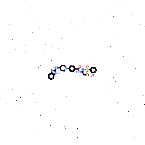 O=C(O)CC(NC(=O)c1ccc(N2CCC(Nc3nc4ccccc4[nH]3)CC2)cc1)NS(=O)(=O)c1ccccc1